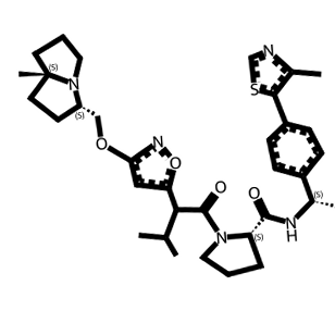 Cc1ncsc1-c1ccc([C@H](C)NC(=O)[C@@H]2CCCN2C(=O)C(c2cc(OC[C@@H]3CC[C@]4(C)CCCN34)no2)C(C)C)cc1